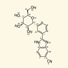 N#Cc1ccc2[nH]c(-c3cccc([C@H]4O[C@H](CO)[C@@H](O)[C@H](O)[C@@H]4O)c3)nc2c1